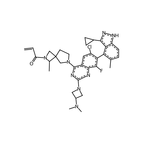 C=CC(=O)N1CC2(CCN(c3nc(N4CC(N(C)C)C4)nc4c(F)c(-c5c(C)ccc6[nH]nc(C7CC7)c56)c(Cl)cc34)C2)C1C